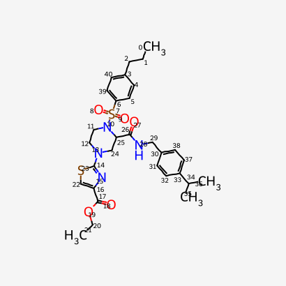 CCCc1ccc(S(=O)(=O)N2CCN(c3nc(C(=O)OCC)cs3)CC2C(=O)NCc2ccc(C(C)C)cc2)cc1